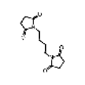 O=C1CCC(=O)N1CCCCN1C(=O)CCC1=O